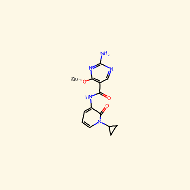 CC[C@@H](C)Oc1nc(N)ncc1C(=O)Nc1cccn(C2CC2)c1=O